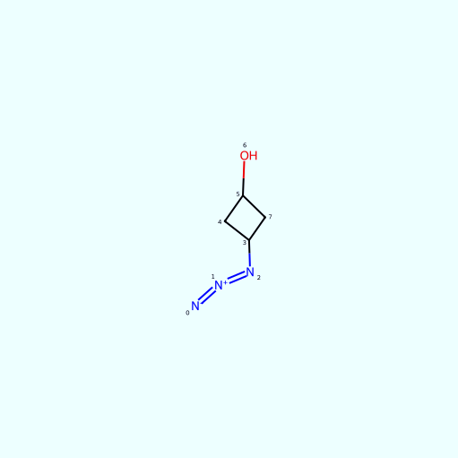 [N-]=[N+]=NC1CC(O)C1